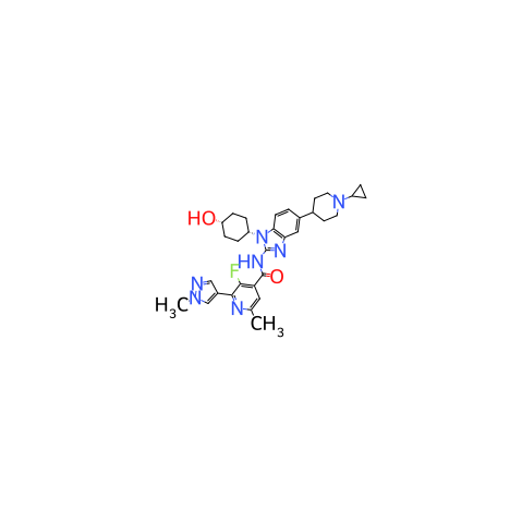 Cc1cc(C(=O)Nc2nc3cc(C4CCN(C5CC5)CC4)ccc3n2[C@H]2CC[C@@H](O)CC2)c(F)c(-c2cnn(C)c2)n1